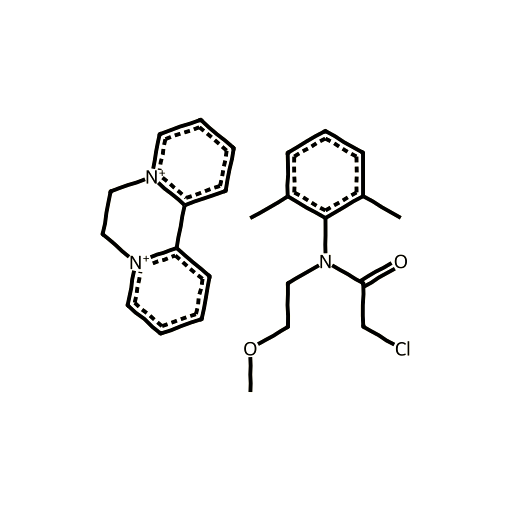 COCCN(C(=O)CCl)c1c(C)cccc1C.c1cc[n+]2c(c1)-c1cccc[n+]1CC2